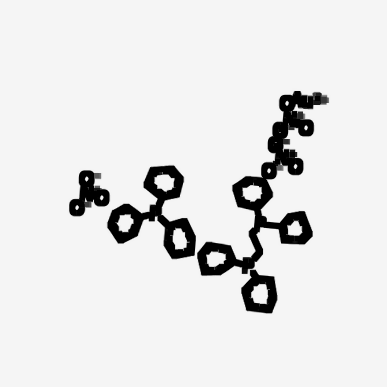 O=[N+]([O-])[O-].O=[N+]([O-])[O-].O=[N+]([O-])[O-].[Au+3].c1ccc(P(CCP(c2ccccc2)c2ccccc2)c2ccccc2)cc1.c1ccc(P(c2ccccc2)c2ccccc2)cc1